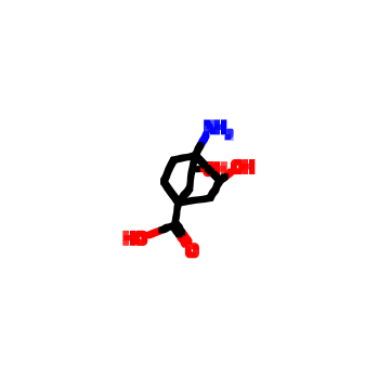 NC12CCC(C(=O)O)(CC1O)CC2O